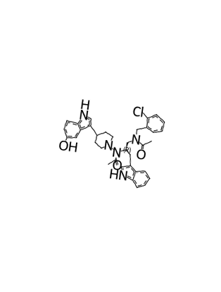 CC(=O)N(Cc1ccccc1Cl)C[C@@H](Cc1c[nH]c2ccccc12)N(C(C)=O)N1CCC(c2c[nH]c3ccc(O)cc23)CC1